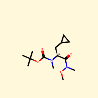 CON(C)C(=O)[C@H](CC1CC1)N(C)C(=O)OC(C)(C)C